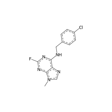 Cn1cnc2c(NCc3ccc(Cl)cc3)nc(F)nc21